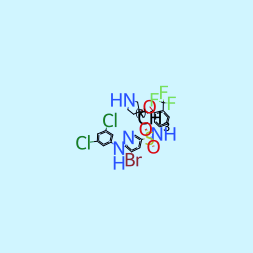 C[C@@]1(Oc2cc(NS(=O)(=O)c3cnc(Nc4cc(Cl)cc(Cl)c4)c(Br)c3)ccc2C(F)(F)F)CCNC1